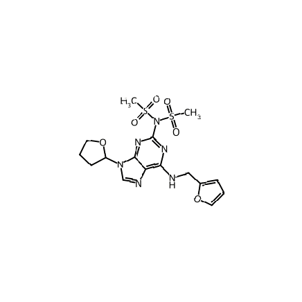 CS(=O)(=O)N(c1nc(NCc2ccco2)c2ncn(C3CCCO3)c2n1)S(C)(=O)=O